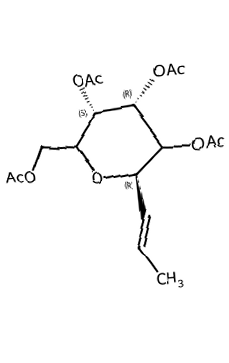 CC=C[C@H]1OC(COC(C)=O)[C@H](OC(C)=O)[C@H](OC(C)=O)C1OC(C)=O